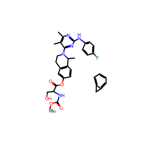 Cc1nc(Nc2ccc(F)cc2)nc(N2CCc3cc(OC(=O)C(CO)NC(=O)OC(C)(C)C)ccc3C2C)c1C.c1ccc2c(c1)C2